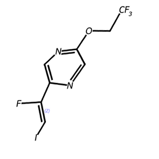 F/C(=C\I)c1cnc(OCC(F)(F)F)cn1